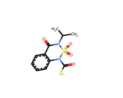 CC(C)N1C(=O)c2ccccc2N(C(=O)S)S1(=O)=O